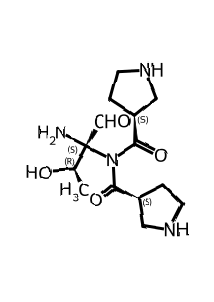 C[C@@H](O)[C@@](N)(C=O)N(C(=O)[C@H]1CCNC1)C(=O)[C@H]1CCNC1